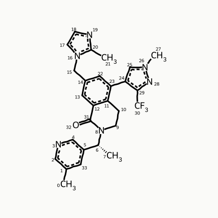 Cc1cncc([C@@H](C)N2CCc3c(cc(Cn4ccnc4C)cc3-c3cn(C)nc3C(F)(F)F)C2=O)c1